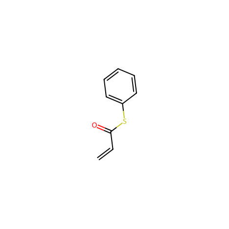 C=CC(=O)Sc1ccccc1